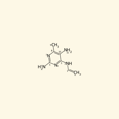 C=CNc1nc(N)nc(C)c1N